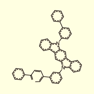 C=C(/C=C\C(=C/C)c1cccc(-n2c3ccccc3c3cc4c(cc32)c2ccccc2n4-c2cccc(-c3ccccc3)c2)c1)c1ccccc1